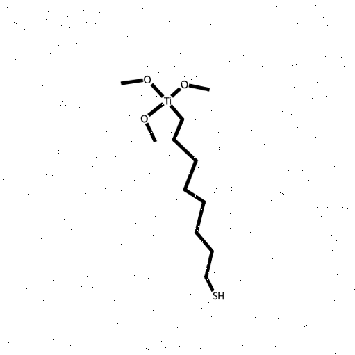 C[O][Ti]([CH2]CCCCCCCS)([O]C)[O]C